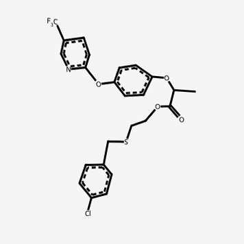 CC(Oc1ccc(Oc2ccc(C(F)(F)F)cn2)cc1)C(=O)OCCSCc1ccc(Cl)cc1